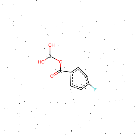 O=C(OB(O)O)c1ccc(F)cc1